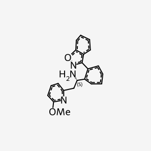 COc1cccc(C[C@H](N)c2ccccc2-c2noc3ccccc23)n1